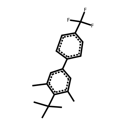 Cc1cc(-c2ccc(C(F)(F)F)cc2)cc(C)c1C(C)(C)C